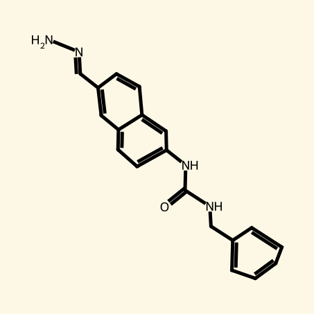 NN=Cc1ccc2cc(NC(=O)NCc3ccccc3)ccc2c1